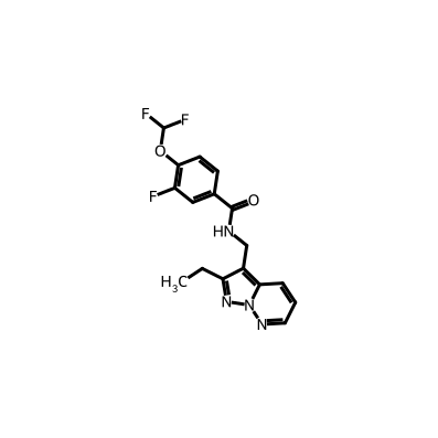 CCc1nn2ncccc2c1CNC(=O)c1ccc(OC(F)F)c(F)c1